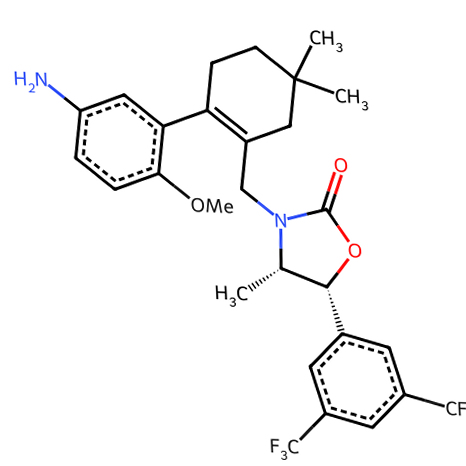 COc1ccc(N)cc1C1=C(CN2C(=O)O[C@H](c3cc(C(F)(F)F)cc(C(F)(F)F)c3)[C@@H]2C)CC(C)(C)CC1